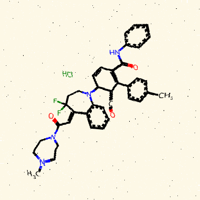 Cc1ccc(C2=C(C(=O)Nc3ccccc3)C=CC(N3CCC(F)(F)C(=CC(=O)N4CCN(C)CC4)c4ccccc43)C2=C=O)cc1.Cl